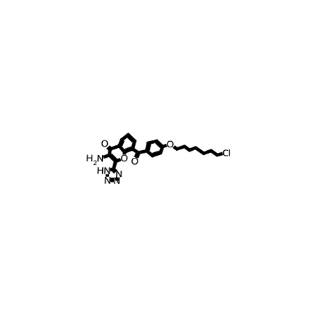 Nc1c(-c2nnn[nH]2)oc2c(C(=O)c3ccc(OCCCCCCCCl)cc3)cccc2c1=O